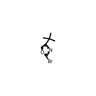 CC(C)(C)c1coc(Br)n1